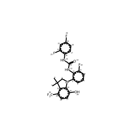 CC1(C)CN(c2cccc(F)c2NC(=O)Nc2ccc(F)cc2F)c2c(O)ccc(C(F)(F)F)c21